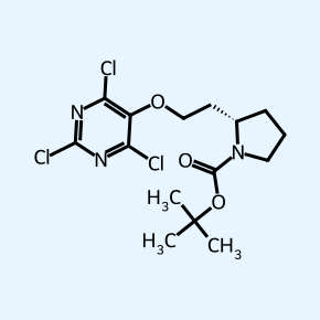 CC(C)(C)OC(=O)N1CCC[C@H]1CCOc1c(Cl)nc(Cl)nc1Cl